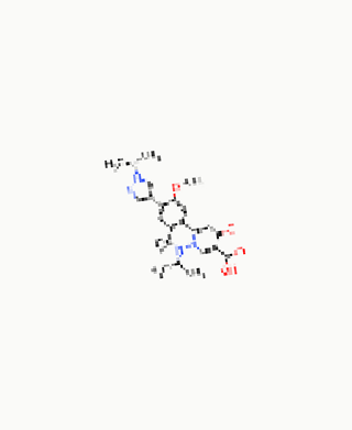 COc1cc2c(cc1-c1cnn(C(C)C)c1)C1(CC1)N(C(C)C)n1cc(C(=O)O)c(=O)cc1-2